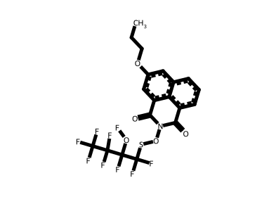 CCCOc1cc2c3c(cccc3c1)C(=O)N(OSC(F)(F)C(F)(OF)C(F)(F)C(F)(F)F)C2=O